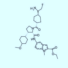 CCOC(=O)c1cc2cc(NC(=O)[C@@H]3[C@H](C4CCC(OC)CC4)CCN3C(=O)[C@H]3CC[C@H](C(N)CF)CC3)ccc2n1C